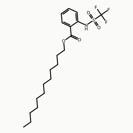 CCCCCCCCCCCCOC(=O)c1ccccc1NS(=O)(=O)C(F)(F)F